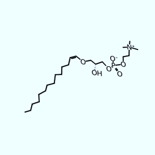 CCCCCCCCCCCC/C=C\OC[C@@H](O)COP(=O)([O-])OCC[N+](C)(C)C